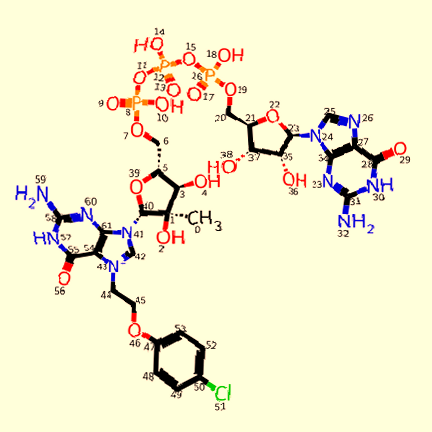 C[C@@]1(O)[C@H](O)[C@@H](COP(=O)(O)OP(=O)(O)OP(=O)(O)OC[C@H]2O[C@@H](n3cnc4c(=O)[nH]c(N)nc43)[C@H](O)[C@@H]2O)O[C@H]1n1c[n+](CCOc2ccc(Cl)cc2)c2c(=O)[nH]c(N)nc21